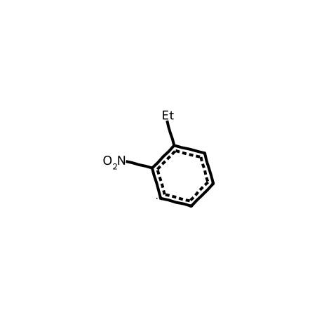 CCc1ccc[c]c1[N+](=O)[O-]